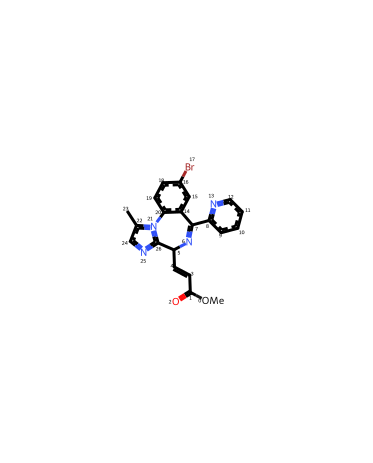 COC(=O)C=CC1N=C(c2ccccn2)c2cc(Br)ccc2-n2c(C)cnc21